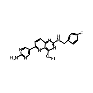 CCOc1nc(NCc2ccc(F)cc2)nc2ccc(-c3cnc(N)nc3)nc12